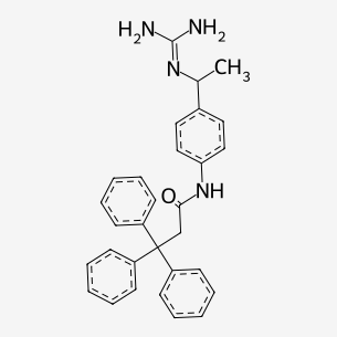 CC(N=C(N)N)c1ccc(NC(=O)CC(c2ccccc2)(c2ccccc2)c2ccccc2)cc1